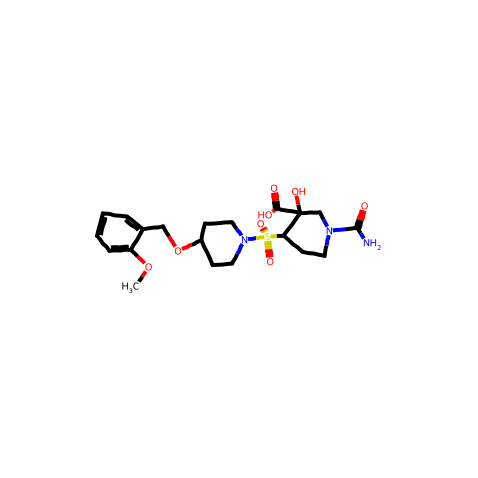 COc1ccccc1COC1CCN(S(=O)(=O)C2CCN(C(N)=O)CC2(O)C(=O)O)CC1